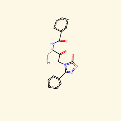 CC(C)C[C@H](NC(=O)c1ccccc1)C(=O)Cn1c(-c2ccccc2)noc1=O